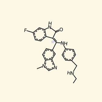 CCNCc1ccc(N/C(=C2\C(=O)Nc3cc(F)ccc32)c2ccc3c(c2)ncn3C)cc1